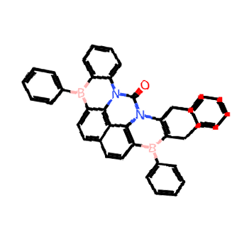 O=C1N2C3=C(B(c4ccccc4)c4ccc5ccc6c(c5c42)N1c1ccccc1B6c1ccccc1)C1c2ccccc2C3c2ccccc21